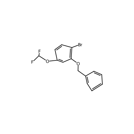 FC(F)Oc1ccc(Br)c(OCc2ccccc2)c1